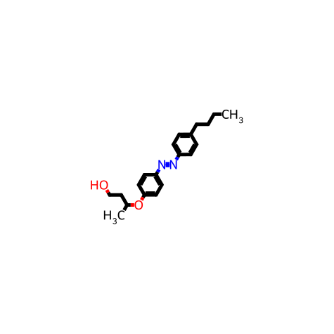 CCCCc1ccc(N=Nc2ccc(OC(C)CCO)cc2)cc1